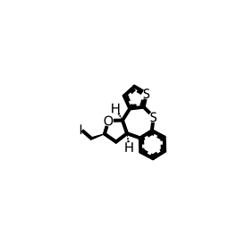 IC[C@@H]1C[C@@H]2c3ccccc3Sc3sccc3[C@@H]2O1